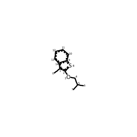 Cc1c(OCC(C)C)sc2ccccc12